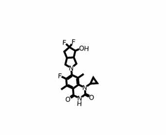 Cc1c(F)c(N2CC3CC(F)(F)C(O)C3C2)c(C)c2c1c(=O)[nH]c(=O)n2C1CC1